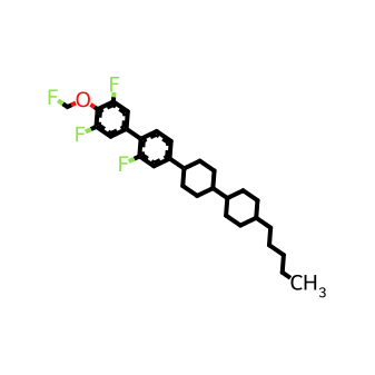 CCCCCC1CCC(C2CCC(c3ccc(-c4cc(F)c(OCF)c(F)c4)c(F)c3)CC2)CC1